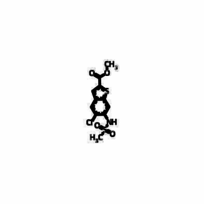 COC(=O)c1cc2cc(Cl)c(NS(C)(=O)=O)cc2s1